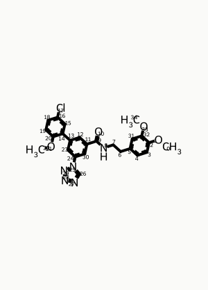 COc1ccc(CCNC(=O)c2cc(-c3cc(Cl)ccc3OC)cc(-n3cnnn3)c2)cc1OC